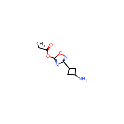 CCC(=O)Oc1nc(C2CC(N)C2)no1